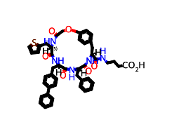 O=C(O)CCCNC(=O)[C@@H]1Cc2ccc(cc2)OCC(=O)N[C@@H](Cc2cccs2)C(=O)N[C@@H](Cc2ccc(-c3ccccc3)cc2)C(=O)N[C@@H](Cc2ccccc2)C(=O)N1